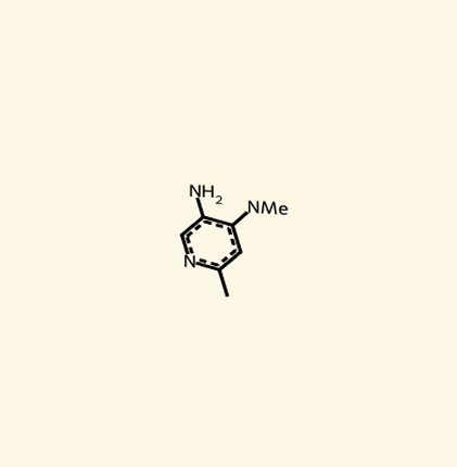 CNc1cc(C)ncc1N